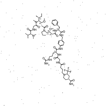 CC[C@H](C)C([C@@H](CC(=O)N1CCC[C@H]1[C@H](OC)[C@@H](C)C(=O)N[C@@H](Cc1ccccc1)C(=O)NCc1ccc(NC(=O)[C@H](CCCNC(N)=O)NC(=O)CNC(=O)CCCN2CCC(C(N)=O)CC2C(F)(F)F)cc1)OC)N(C)C(=O)CNC(=O)C(C(C)C)N(C)C